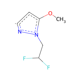 COc1c[c]nn1CC(F)F